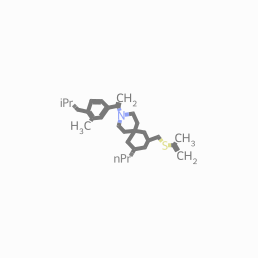 C=C(C)SCC1CC(CCC)CC2(CCN(C(=C)c3ccc(CC(C)C)c(C)c3)CC2)C1